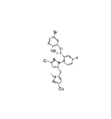 Cn1nc(C#N)cc1Cc1cc(Cl)nn1-c1ccc(F)cc1COc1cc(Br)cnc1[N+](=O)[O-]